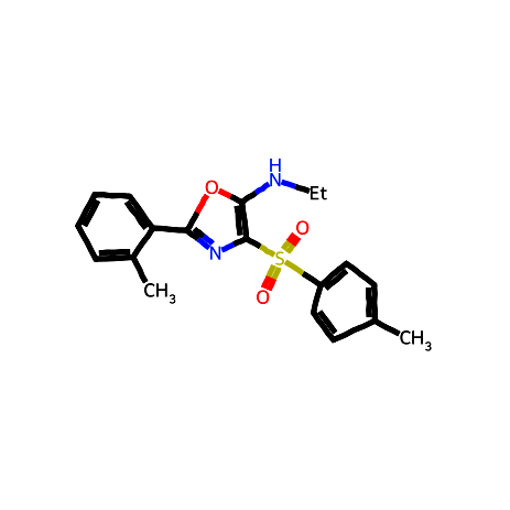 CCNc1oc(-c2ccccc2C)nc1S(=O)(=O)c1ccc(C)cc1